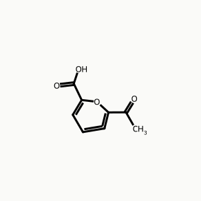 CC(=O)C1=C=CC=C(C(=O)O)O1